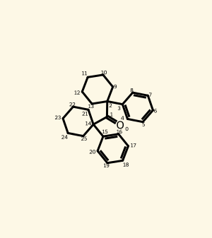 O=C(C1(c2ccccc2)CCCCC1)C1(c2ccccc2)CCCCC1